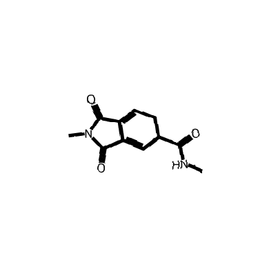 CNC(=O)C1C=C2C(=O)N(C)C(=O)C2=CC1